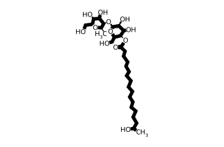 CC(O)CCCCCCCCCCCCCCCC(=O)O[C@@H]1C(CO)O[C@@H](O[C@H]2C(O)[C@H](O)C(CO)O[C@H]2C)[C@@H](O)C1O